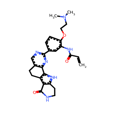 C=CC(=O)Nc1cc(-c2ncc3c(n2)-c2[nH]c4c(c2CC3)C(=O)NCC4)ccc1OCCN(C)C